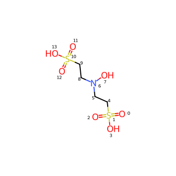 O=S(=O)(O)CCN(O)CCS(=O)(=O)O